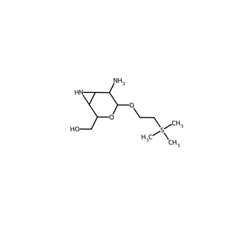 CS(C)(C)CCOC1OC(CO)C2NC2C1N